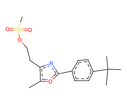 Cc1oc(-c2ccc(C(C)(C)C)cc2)nc1CCOS(C)(=O)=O